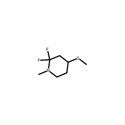 CSC1CCN(C)C(F)(F)C1